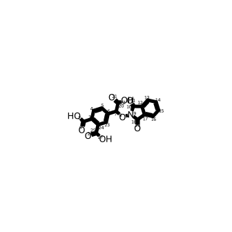 O=C(O)c1ccc(C(ON2C(=O)c3ccccc3C2=O)C(=O)O)cc1C(=O)O